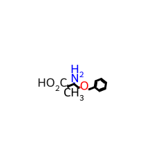 CC(C(=O)O)C(N)COCc1ccccc1